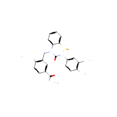 COC(=O)c1ccc(OC)c(CN2C(=O)N(c3ccc(OC)c(OC)c3)S(=O)(=O)c3ccccc32)c1